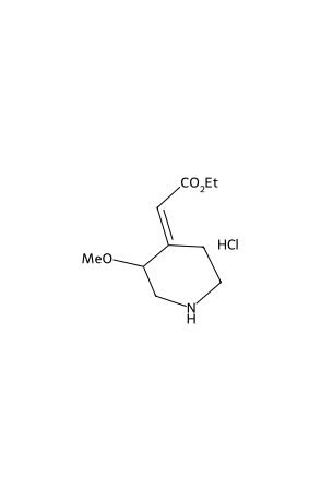 CCOC(=O)C=C1CCNCC1OC.Cl